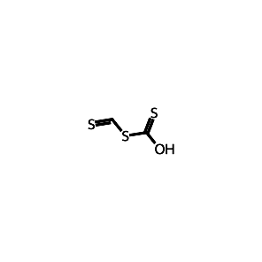 OC(=S)SC=S